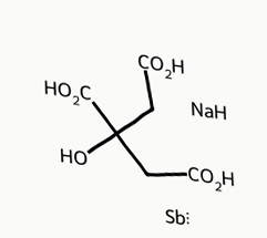 O=C(O)CC(O)(CC(=O)O)C(=O)O.[NaH].[Sb]